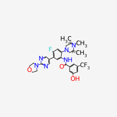 C[C@@H]1CN(c2cc(F)c(-c3cnc(N4CCOCC4)nc3)cc2NC(=O)c2cc(O)cc(C(F)(F)F)c2)C[C@H](C)N1C